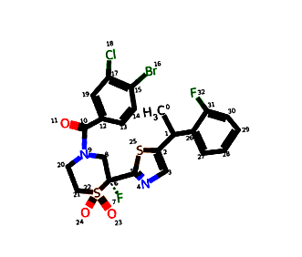 CC(c1cnc([C@]2(F)CN(C(=O)c3ccc(Br)c(Cl)c3)CCS2(=O)=O)s1)c1ccccc1F